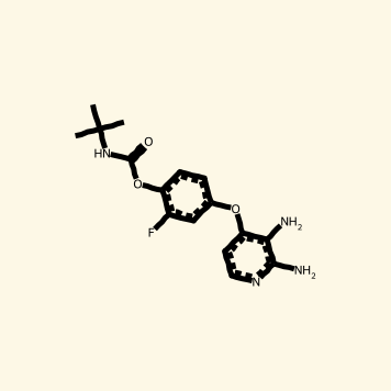 CC(C)(C)NC(=O)Oc1ccc(Oc2ccnc(N)c2N)cc1F